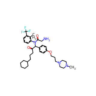 Cc1c(N(C(=O)CN)C(C(=O)CCCC2CCCCC2)c2ccc(OCCCN3CCN(C)CC3)cc2)cccc1C(F)(F)F